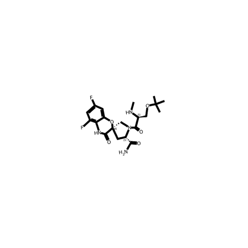 CN[C@@H](COC(C)(C)C)C(=O)N1C[C@@]2(C[C@H]1C(N)=O)Oc1cc(F)cc(F)c1NC2=O